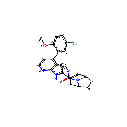 CNC(=O)N1C2C=C(c3cc4c(-c5cc(F)ccc5OC)ccnc4[nH]3)CC1CC2